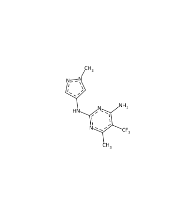 Cc1nc(Nc2cnn(C)c2)nc(N)c1C(F)(F)F